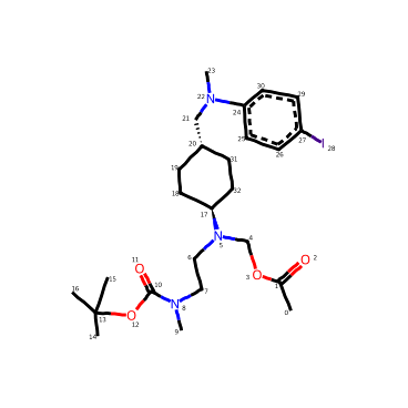 CC(=O)OCN(CCN(C)C(=O)OC(C)(C)C)[C@H]1CC[C@H](CN(C)c2ccc(I)cc2)CC1